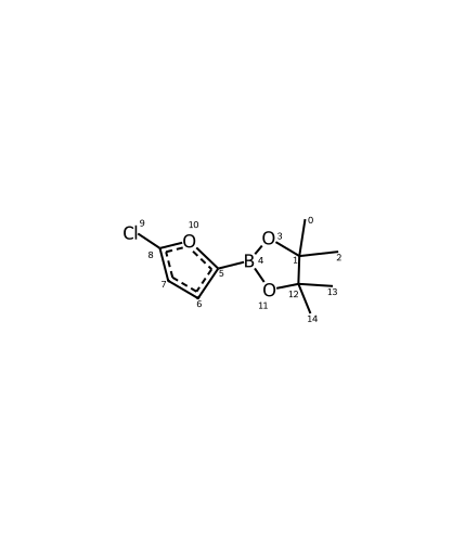 CC1(C)OB(c2ccc(Cl)o2)OC1(C)C